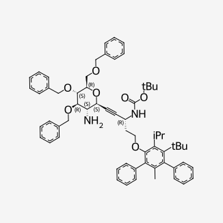 Cc1c(-c2ccccc2)c(OCC[C@H](C#C[C@@H]2O[C@H](COCc3ccccc3)[C@@H](OCc3ccccc3)[C@H](OCc3ccccc3)[C@H]2N)NC(=O)OC(C)(C)C)c(C(C)C)c(C(C)(C)C)c1-c1ccccc1